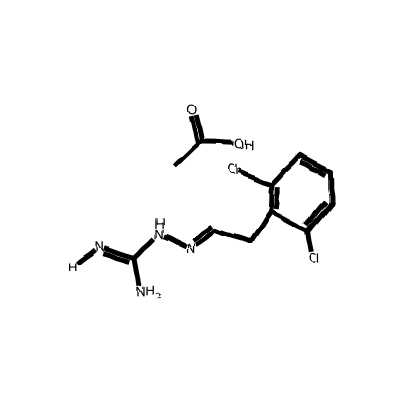 CC(=O)O.[H]/N=C(\N)NN=CCc1c(Cl)cccc1Cl